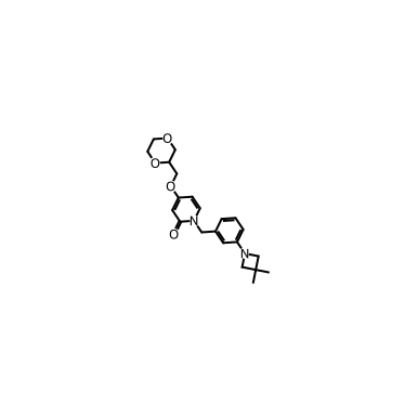 CC1(C)CN(c2cccc(Cn3ccc(OCC4COCCO4)cc3=O)c2)C1